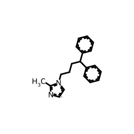 Cc1n[c]cn1CCCC(c1ccccc1)c1ccccc1